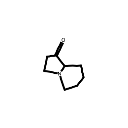 O=C1CCN2CCCCC12